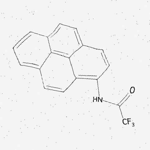 O=C(Nc1ccc2ccc3cccc4ccc1c2c34)C(F)(F)F